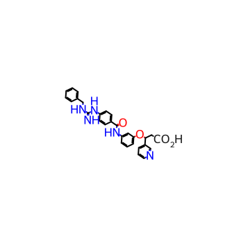 N=C(NCc1ccccc1)Nc1ccc(C(=O)Nc2cccc(OC(CC(=O)O)c3cccnc3)c2)cc1